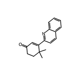 CC1(C)CCC(=O)C=C1c1ccc2ccccc2n1